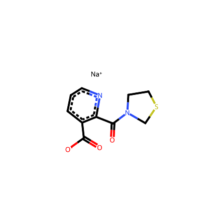 O=C([O-])c1cccnc1C(=O)N1CCSC1.[Na+]